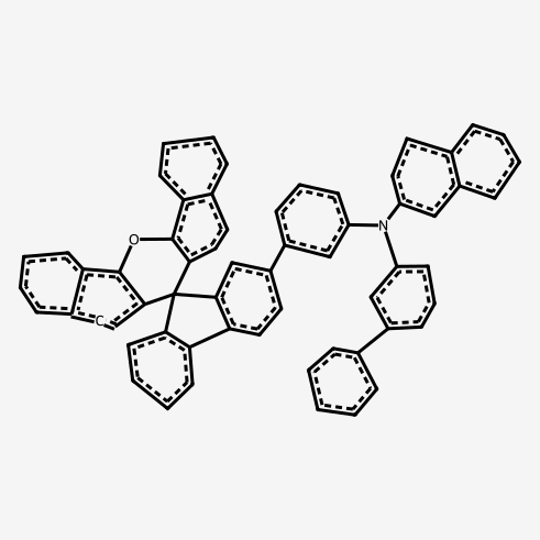 c1ccc(-c2cccc(N(c3cccc(-c4ccc5c(c4)C4(c6ccccc6-5)c5ccc6ccccc6c5Oc5c4ccc4ccccc54)c3)c3ccc4ccccc4c3)c2)cc1